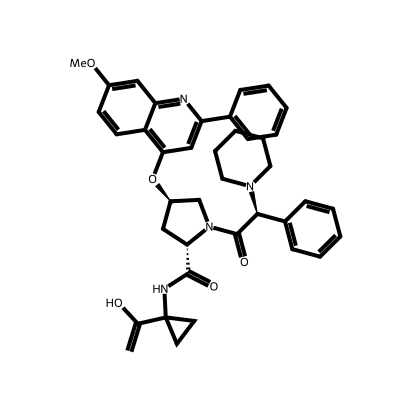 C=C(O)C1(NC(=O)[C@@H]2C[C@@H](Oc3cc(-c4ccccc4)nc4cc(OC)ccc34)CN2C(=O)[C@H](c2ccccc2)N2CCCCC2)CC1